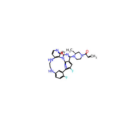 C=CC(=O)N1CCN(c2nc(=O)n3c4nc(c(F)cc24)-c2cc(ccc2F)NCCNc2ccnc(C(C)C)c2-3)[C@@H](C)C1